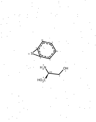 N[C@@H](CO)C(=O)O.c1ccc2c(c1)S2